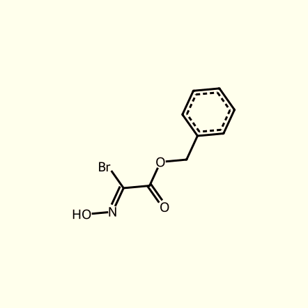 O=C(OCc1ccccc1)C(Br)=NO